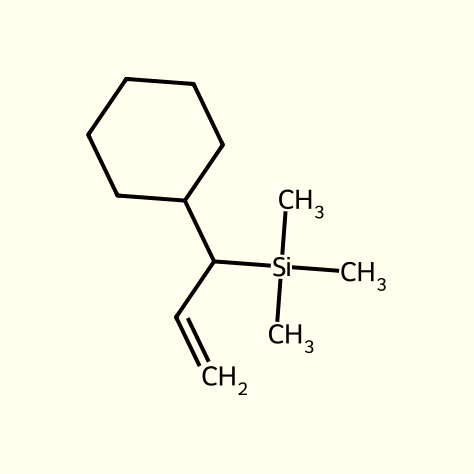 C=CC(C1CCCCC1)[Si](C)(C)C